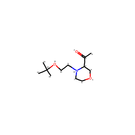 CC(=O)C1COCCN1CCOC(C)(C)C